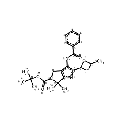 CC1OC(n2nc3c(c2NC(=O)c2ccccc2)CN(C(=O)OC(C)(C)C)C3(C)C)O1